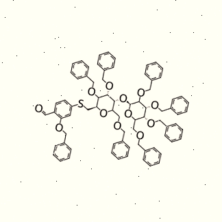 O=Cc1ccc(SC[C@@H]2OC(COCc3ccccc3)[C@@H](O[C@@H]3OC(COCc4ccccc4)[C@@H](OCc4ccccc4)[C@@H](OCc4ccccc4)C3OCc3ccccc3)[C@@H](OCc3ccccc3)C2OCc2ccccc2)cc1OCc1ccccc1